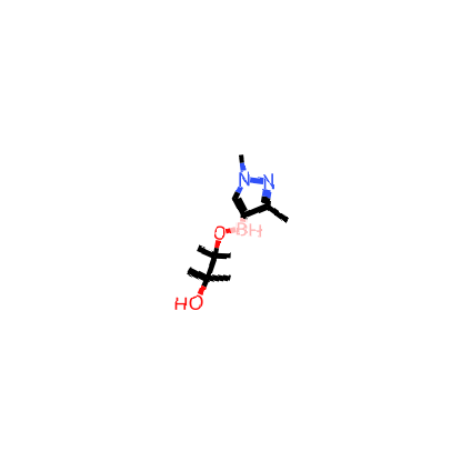 Cc1nn(C)cc1BOC(C)(C)C(C)(C)O